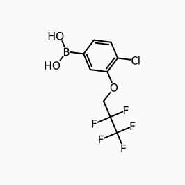 OB(O)c1ccc(Cl)c(OCC(F)(F)C(F)(F)F)c1